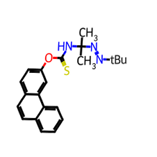 CC(C)(C)N=NC(C)(C)NC(=S)Oc1ccc2ccc3ccccc3c2c1